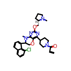 C=CC(=O)N1CCC(c2nc(OC[C@@H]3CCCN3C)nc3c2OCC(c2cccc4cccc(Cl)c24)N3C)CC1